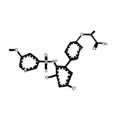 COc1cncc(S(=O)(=O)Nc2c(Cl)cc(Cl)cc2-c2ccc(OC(C)C(=O)O)cc2)c1